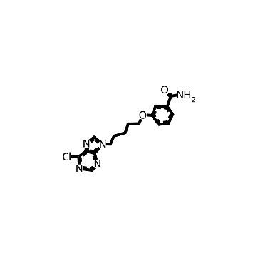 NC(=O)c1cccc(OCCCCCn2cnc3c(Cl)ncnc32)c1